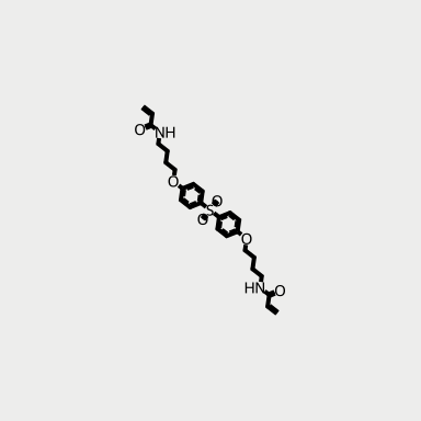 C=CC(=O)NCCCCOc1ccc(S(=O)(=O)c2ccc(OCCCCNC(=O)C=C)cc2)cc1